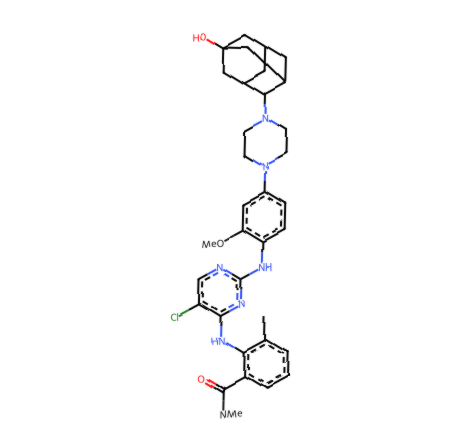 CNC(=O)c1cccc(C)c1Nc1nc(Nc2ccc(N3CCN(C4C5CC6CC4CC(O)(C6)C5)CC3)cc2OC)ncc1Cl